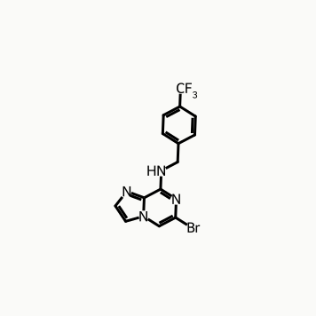 FC(F)(F)c1ccc(CNc2nc(Br)cn3ccnc23)cc1